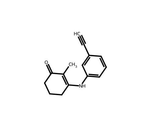 C#Cc1cccc(NC2=C(C)C(=O)CCC2)c1